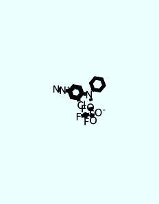 CN(c1ccc([N+]#N)cc1Cl)C1CCCCC1.O=S(=O)([O-])C(F)(F)F